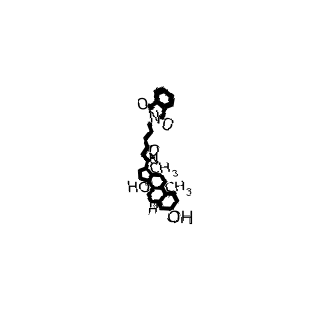 CC12CCC3C(CC[C@@H]4CC(O)CC[C@]34C)[C@@]1(O)CCC2c1cc(CCCN2C(=O)c3ccccc3C2=O)on1